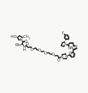 C[C@@H]1C[C@@H](O)CN1C(=O)[C@@H](NC(=O)CCOCCOCCOCCOCCC(=O)N1CCN(c2cccc(-c3cnc4ccc(N5CCC[C@@H]5c5cccc(F)c5)nn34)n2)CC1)C(C)(C)C